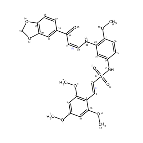 COc1cc(OC)c(/C=C/S(=O)(=O)Nc2ccc(OC)c(N/C=C\C(=O)c3ccc4c(c3)OCO4)c2)c(OC)c1